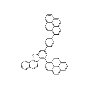 c1ccc2c(c1)ccc1c2oc2cc(-c3ccc(-c4ccc5ccc6cccc7ccc4c5c67)cc3)cc(-c3ccc4ccc5cccc6ccc3c4c56)c21